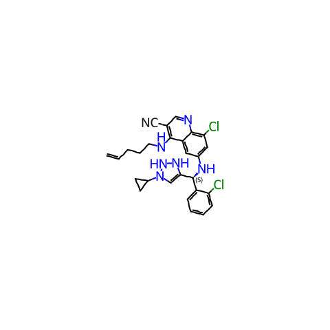 C=CCCCNc1c(C#N)cnc2c(Cl)cc(N[C@H](C3=CN(C4CC4)NN3)c3ccccc3Cl)cc12